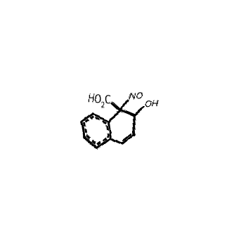 O=NC1(C(=O)O)c2ccccc2C=CC1O